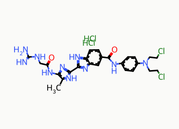 Cc1[nH]c(-c2nc3cc(C(=O)Nc4ccc(N(CCCl)CCCl)cc4)ccc3[nH]2)nc1NC(=O)CNC(=N)N.Cl.Cl